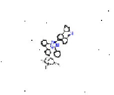 CC[C@@H]1C[C@@H]2C[C@@H](C)CC(c3ccc(-c4ccccc4-c4nc(-c5ccccc5)nc(-c5ccc(-c6ccccc6)c6c(C#N)cccc56)n4)cc3)(C1)C2